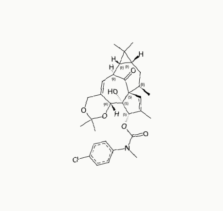 CC1=C[C@]23C(=O)[C@@H](C=C4COC(C)(C)O[C@H]4[C@]2(O)[C@H]1OC(=O)N(C)c1ccc(Cl)cc1)[C@H]1[C@@H](C[C@H]3C)C1(C)C